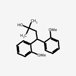 COc1ccccc1C(CC(C)(C)O)c1ccccc1OC